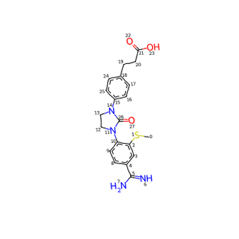 CSc1cc(C(=N)N)ccc1N1CCN(c2ccc(CCC(=O)O)cc2)C1=O